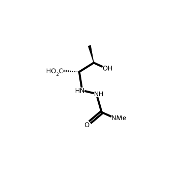 CNC(=O)NN[C@H](C(=O)O)[C@@H](C)O